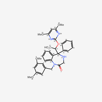 COc1cc(CN2C(=O)CNC(c3ccccc3)(C(Oc3nc(OC)cc(OC)n3)C(=O)O)c3ccccc32)cc(OC)c1